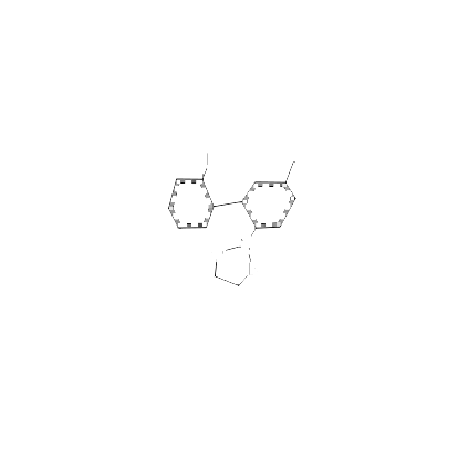 Cc1ccc(N2BCCO2)c(-c2ccccc2F)c1